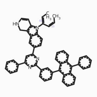 C/C=C\C(=C/C)n1c2c(c3cc(-c4cc(-c5ccccc5)nc(-c5cccc(-c6c7ccccc7c(-c7ccccc7)c7ccccc67)c5)n4)ccc31)CNC=C2